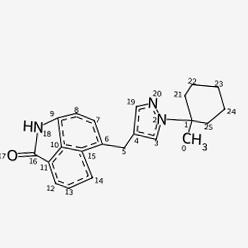 CC1(n2cc(Cc3ccc4c5c(cccc35)C(=O)N4)cn2)CCCCC1